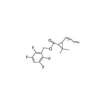 C=C/C=C\C1C(C(=O)OCc2c(F)c(F)cc(F)c2F)C1(C)C